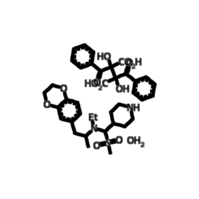 CCN(C(C)Cc1ccc2c(c1)OCCO2)C(C1CCNCC1)S(C)(=O)=O.O.O=C(O)C(O)(C(=O)c1ccccc1)C(O)(C(=O)O)C(=O)c1ccccc1